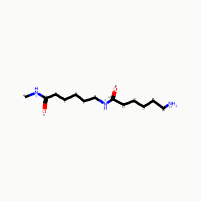 CNC(=O)CCCCCNC(=O)CCCCCN